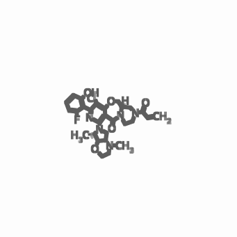 C=CC(=O)N1CCN2C(=O)c3c(N4CC5C(OCCN5C)[C@@H]4C)nc(-c4c(O)cccc4F)c(Cl)c3OC[C@H]2C1